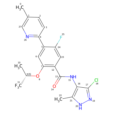 Cc1ccc(-c2cc(O[C@@H](C)C(F)(F)F)c(C(=O)Nc3c(Cl)n[nH]c3C)cc2F)nc1